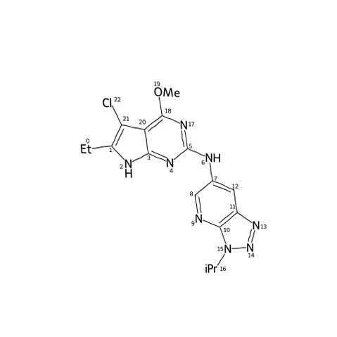 CCc1[nH]c2nc(Nc3cnc4c(c3)nnn4C(C)C)nc(OC)c2c1Cl